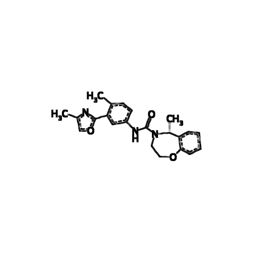 Cc1coc(-c2cc(NC(=O)N3CCOc4ccccc4[C@H]3C)ccc2C)n1